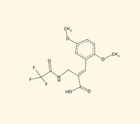 COc1ccc(OC)c(/C=C(\CNC(=O)C(F)(F)F)C(=O)O)c1